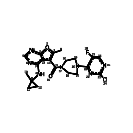 Cc1oc2ncnc(NC3(C)CC3)c2c1C(=O)N1CCN(c2nc(Cl)ncc2F)CC1